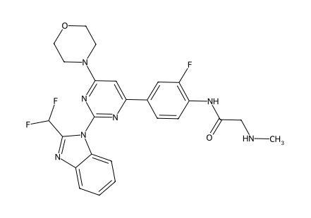 CNCC(=O)Nc1ccc(-c2cc(N3CCOCC3)nc(-n3c(C(F)F)nc4ccccc43)n2)cc1F